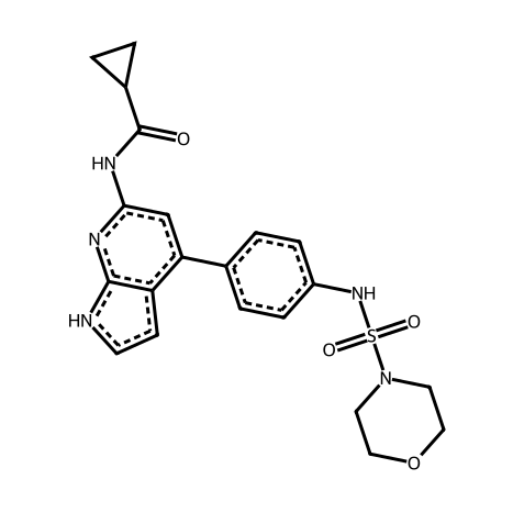 O=C(Nc1cc(-c2ccc(NS(=O)(=O)N3CCOCC3)cc2)c2cc[nH]c2n1)C1CC1